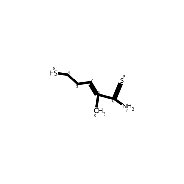 C/C(=C\CCS)C(N)=S